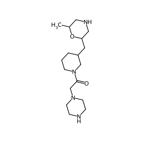 CC1CNCC(CC2CCCN(C(=O)CN3CCNCC3)C2)O1